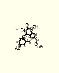 CCCOCc1nc2c(c(=O)n(C)c(=O)n2C)n1Cc1cccc(C(C)=O)c1